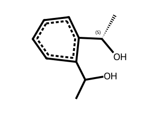 CC(O)c1ccccc1[C@H](C)O